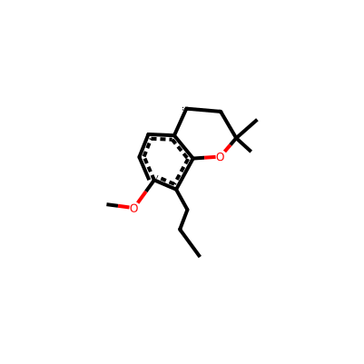 CCCc1c(OC)ccc2c1OC(C)(C)C[C]2